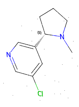 CN1CCC[C@H]1c1cncc(Cl)c1